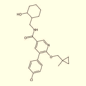 CC1(COc2ncc(C(=O)NCC3CCCCC3O)cc2-c2ccc(Cl)cc2)CC1